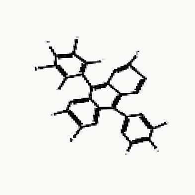 Fc1ccc2c(-c3cc(F)c(F)c(F)c3)c3cc(F)c(F)cc3c(-c3c(F)c(F)c(F)c(F)c3F)c2c1